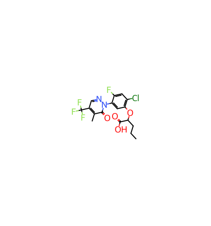 CCCC(Oc1cc(-n2ncc(C(F)(F)F)c(C)c2=O)c(F)cc1Cl)C(=O)O